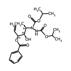 C=C[C@H](OC(=O)c1ccccc1)[C@H](O)[C@@H](C)N(NC(=O)OC(C)C)C(=O)OC(C)C